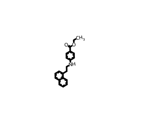 CCOC(=O)c1ccc(NCCc2cccc3ccccc23)cc1